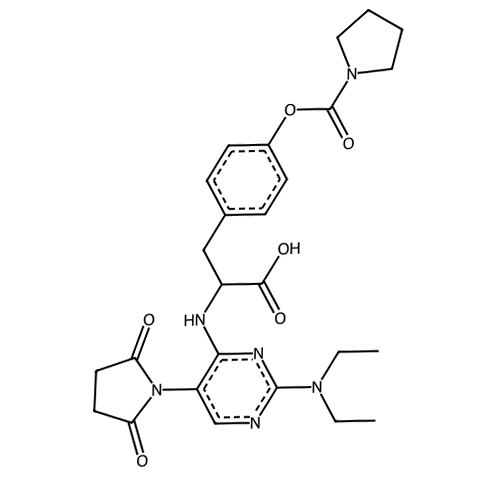 CCN(CC)c1ncc(N2C(=O)CCC2=O)c(NC(Cc2ccc(OC(=O)N3CCCC3)cc2)C(=O)O)n1